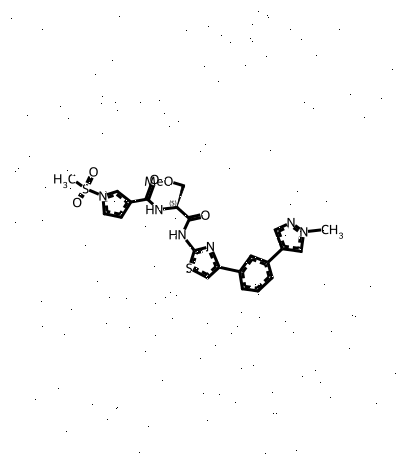 COC[C@H](NC(=O)c1ccn(S(C)(=O)=O)c1)C(=O)Nc1nc(-c2cccc(-c3cnn(C)c3)c2)cs1